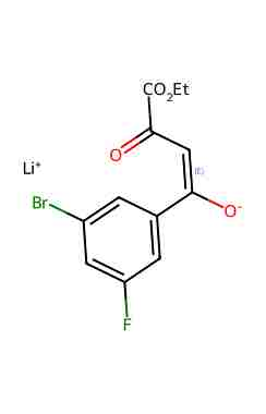 CCOC(=O)C(=O)/C=C(/[O-])c1cc(F)cc(Br)c1.[Li+]